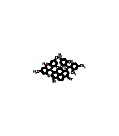 Cc1cc(C)c(B(c2c(C)cc(C)cc2C)c2cc(C(C)C)c3ccc4c(C(C)C)cc(B(c5c(C)cc(C)cc5C)c5c(C)cc(C)cc5C)c5ccc2c3c54)c(C)c1